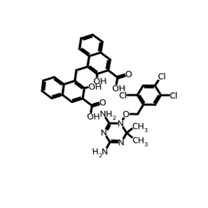 CC1(C)N=C(N)N=C(N)N1OCc1cc(Cl)c(Cl)cc1Cl.O=C(O)c1cc2ccccc2c(Cc2c(O)c(C(=O)O)cc3ccccc23)c1O